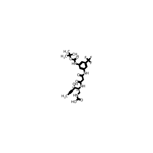 CC#C[C@H](O)[C@H](CNC(=O)O)NC(=O)CC(=O)Nc1cc(NC(=O)OC(C)(C)C)cc(C(F)(F)F)c1